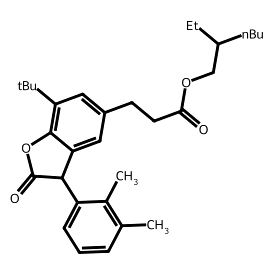 CCCCC(CC)COC(=O)CCc1cc2c(c(C(C)(C)C)c1)OC(=O)C2c1cccc(C)c1C